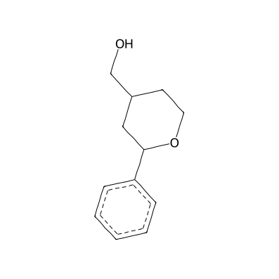 OCC1CCOC(c2ccccc2)C1